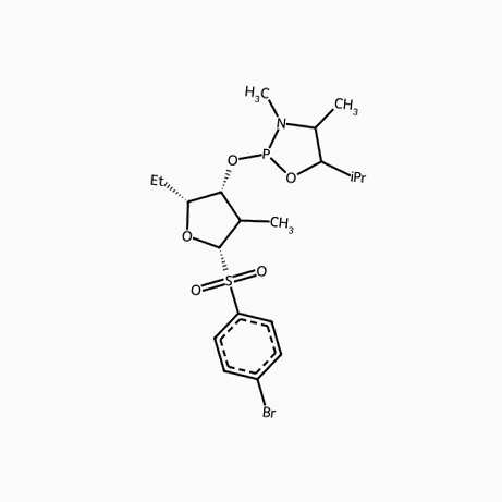 CC[C@H]1O[C@@H](S(=O)(=O)c2ccc(Br)cc2)C(C)[C@H]1OP1OC(C(C)C)C(C)N1C